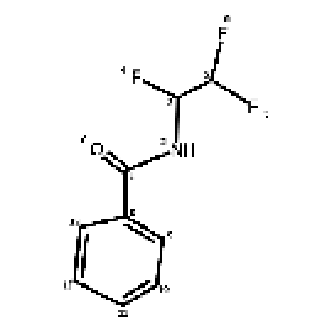 O=C(NC(F)C(F)F)c1ccccc1